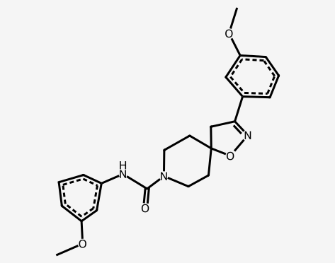 COc1cccc(NC(=O)N2CCC3(CC2)CC(c2cccc(OC)c2)=NO3)c1